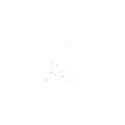 Cc1cc2c(CC(=O)O)cccc2n1C(=O)c1ccc(OCCCCCCl)cc1